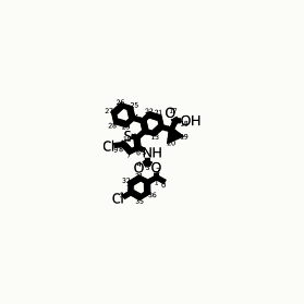 CC(OC(=O)Nc1cc(Cl)sc1-c1cc(C2(C(=O)O)CC2)ccc1-c1ccccc1)c1ccc(Cl)cc1